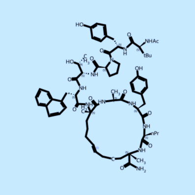 CCC[C@@H]1NC(=O)[C@H](Cc2ccc(O)cc2)NC(=O)[C@H](C)NC(=O)[C@@](C)(NC(=O)[C@H](Cc2cccc3ccccc23)NC(=O)[C@@H](NC(=O)[C@@H]2CCCN2C(=O)[C@H](Cc2ccc(O)cc2)NC(=O)[C@@H](NC(C)=O)C(C)(C)C)[C@@H](C)O)CCC/C=C/CCC[C@@](C)(C(N)=O)NC1=O